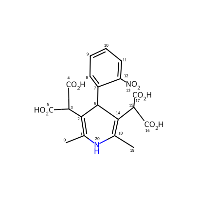 CC1=C(C(C(=O)O)C(=O)O)C(c2ccccc2[N+](=O)[O-])C(C(C(=O)O)C(=O)O)=C(C)N1